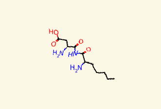 CCCCCC(N)C(=O)NC(=O)[C@@H](N)CC(=O)O